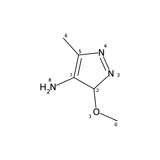 COC1N=NC(C)=C1N